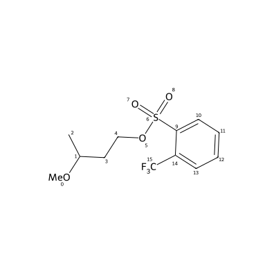 COC(C)CCOS(=O)(=O)c1ccccc1C(F)(F)F